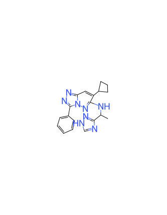 CC(Nc1nn2c(-c3ccccc3)nnc2cc1C1CCC1)c1nc[nH]n1